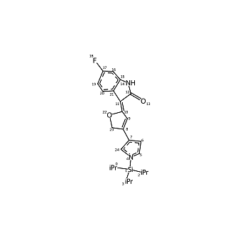 CC(C)[Si](C(C)C)(C(C)C)n1ccc(C2=C/C(=C3\C(=O)Nc4cc(F)ccc43)OC2)c1